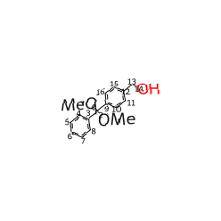 COC(OC)(c1ccccc1)c1ccc(CO)cc1